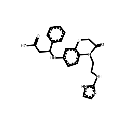 O=C(O)CC(Nc1ccc2c(c1)OCC(=O)N2CCNc1ncc[nH]1)c1ccccc1